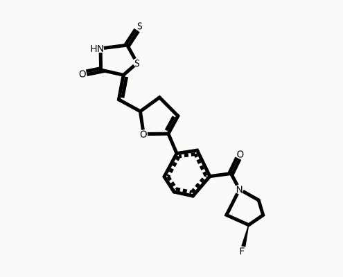 O=C1NC(=S)S/C1=C\C1CC=C(c2cccc(C(=O)N3CC[C@@H](F)C3)c2)O1